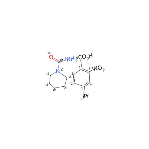 CC(C)c1ccc(C(=O)O)c([N+](=O)[O-])c1.NC(=O)N1CCCCC1